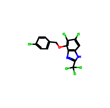 Clc1ccc(COc2c(Cl)c(Cl)cc3[nH]c(C(Cl)(Cl)Cl)nc23)cc1